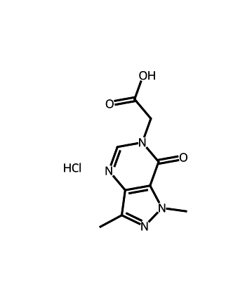 Cc1nn(C)c2c(=O)n(CC(=O)O)cnc12.Cl